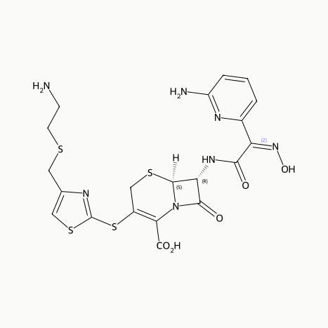 NCCSCc1csc(SC2=C(C(=O)O)N3C(=O)[C@@H](NC(=O)/C(=N\O)c4cccc(N)n4)[C@@H]3SC2)n1